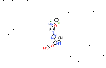 CC(C)(O)COc1cc(-c2cnc(N3C[C@@H]4C[C@@](C)(NC(=O)c5c(F)cccc5Cl)C[C@@H]4C3)cn2)c2c(C#N)cnn2c1